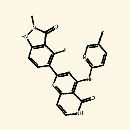 Cc1ccc(Nc2cc(-c3ccc4[nH]n(C)c(=O)c4c3F)nc3cc[nH]c(=O)c23)nc1